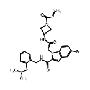 C=CC(=O)N1CC(NC(=O)Cn2c(C(=O)NCc3ccccc3CN(C)C)cc3cc(Br)ccc32)C1